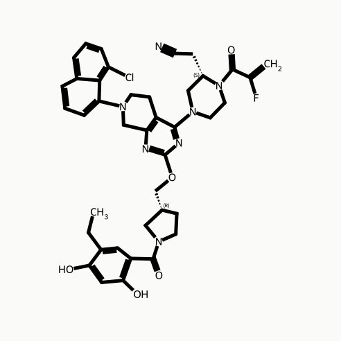 C=C(F)C(=O)N1CCN(c2nc(OC[C@@H]3CCN(C(=O)c4cc(CC)c(O)cc4O)C3)nc3c2CCN(c2cccc4cccc(Cl)c24)C3)C[C@@H]1CC#N